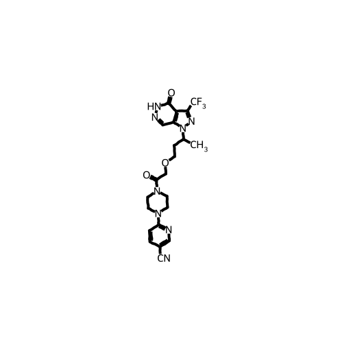 CC(CCOCC(=O)N1CCN(c2ccc(C#N)cn2)CC1)n1nc(C(F)(F)F)c2c(=O)[nH]ncc21